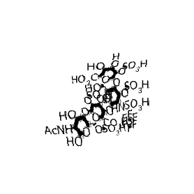 CC(=O)N[C@@H]1[C@@H](O)[C@H](O[C@@H]2O[C@H](C(=O)O)[C@@H](O[C@@H]3O[C@H](CO)[C@@H](O[C@H]4O[C@@H](C(=O)O)[C@H](O)[C@@H](O)[C@@H]4OS(=O)(=O)O)[C@H](OS(=O)(=O)O)[C@H]3NS(=O)(=O)O)[C@H](O)[C@H]2OS(=O)(=O)O)[C@H](COS(=O)(=O)O)O[C@H]1O.FS(F)(F)(F)(F)F